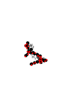 CC1(C)c2ccccc2-c2cccc(-c3ccc(N(c4ccc(-c5ccc6ccccc6c5)cc4)c4ccccc4-c4cccc5oc6c7ccc(-c8ccc9c(c8)C(C)(C)c8c(-c%10ccc(N(c%11ccc(-c%12ccc(-c%13ccccc%13)cc%12)cc%11)c%11ccccc%11-c%11cccc%12oc%13c%14ccccc%14ccc%13c%11%12)cc%10)cccc8-9)cc7ccc6c45)cc3)c21